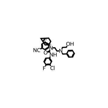 N#Cc1cccc([C@]23CC[C@@H](N(CCN(CCO)Cc4ccccc4)C(=O)Nc4ccc(F)c(Cl)c4)CC2C3)c1